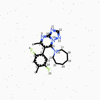 Cc1cc(F)c(-c2c(C)nc3ncnn3c2N2CCCCCC2)cc1F